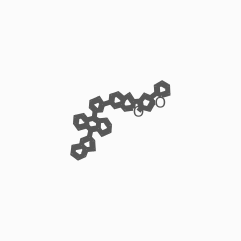 c1cc(-c2ccc3cc4c(cc3c2)oc2cc3oc5ccccc5c3cc24)cc(-c2c3ccccc3c(-c3ccc4ccccc4c3)c3ccccc23)c1